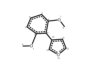 COc1c[c]cc(OC)c1-c1ccoc1